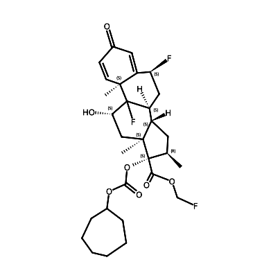 C[C@@H]1C[C@H]2[C@@H]3C[C@H](F)C4=CC(=O)C=C[C@]4(C)C3(F)[C@@H](O)C[C@]2(C)[C@]1(OC(=O)OC1CCCCCC1)C(=O)OCF